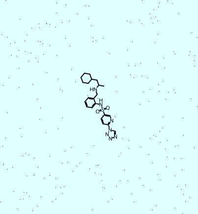 CC(CC1CCCCC1)NCc1ccccc1NS(=O)(=O)c1ccc(-n2cnnn2)nc1